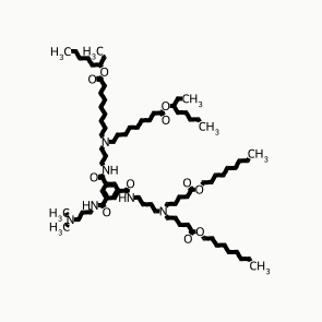 CCCCCCCCCOC(=O)CCCCN(CCCCNC(=O)c1cc(C(=O)NCCCN(C)C)cc(C(=O)NCCCN(CCCCCCCCC(=O)OC(CC)CCCCC)CCCCCCCCC(=O)OC(CC)CCCCC)c1)CCCCC(=O)OCCCCCCCCC